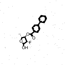 [CH2][C@H]1OC(O)[C@@H](F)[C@@H]1OC(=O)c1ccc(-c2ccccc2)cc1